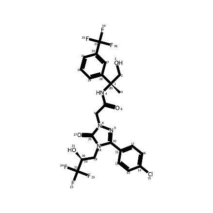 C[C@@](CO)(NC(=O)Cn1nc(-c2ccc(Cl)cc2)n(C[C@H](O)C(F)(F)F)c1=O)c1cccc(C(F)(F)F)c1